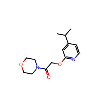 CC(C)c1ccnc(OCC(=O)N2CCOCC2)c1